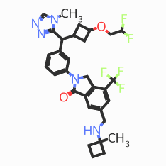 Cn1cnnc1C(c1cccc(N2Cc3c(cc(CNC4(C)CCC4)cc3C(F)(F)F)C2=O)c1)C1CC(OCC(F)F)C1